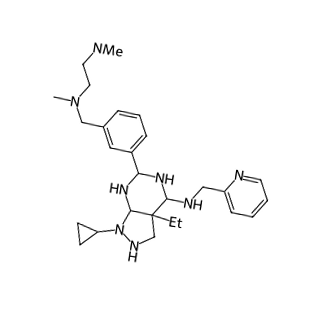 CCC12CNN(C3CC3)C1NC(c1cccc(CN(C)CCNC)c1)NC2NCc1ccccn1